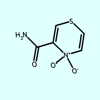 NC(=O)C1=CSC=C[N+]1([O-])[O-]